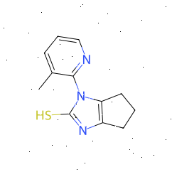 Cc1cccnc1-n1c(S)nc2c1CCC2